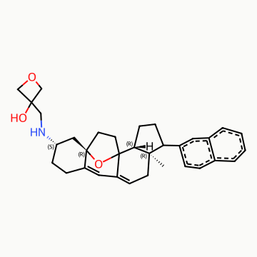 C[C@]12CC=C3C=C4CC[C@H](NCC5(O)COC5)C[C@]45CCC3(O5)[C@@H]1CCC2c1ccc2ccccc2c1